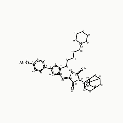 COc1ccc(-c2cc(CCCCCN3CCCCC3)c(/C=C3\SC(=S)N(C4C5CC6CC(C5)CC4C6)C3=O)o2)cc1